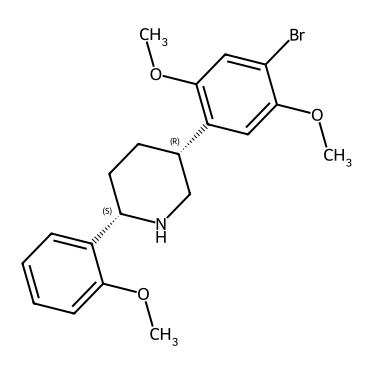 COc1cc([C@H]2CC[C@@H](c3ccccc3OC)NC2)c(OC)cc1Br